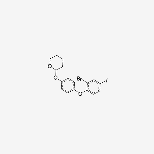 Brc1cc(I)ccc1Oc1ccc(OC2CCCCO2)cc1